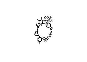 Cc1ccc2c(c1)O[C@@H](C)COCCOC1(C)CCN(CC1)c1c([C@H](OC(C)(C)C)C(=O)O)c(C)c(C)c3nc(cn13)-c1cccc-2c1